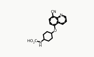 N#Cc1ccc(OC2CCC(NC(=O)O)CC2)c2cccnc12